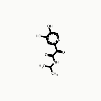 CC(C)NC(=O)C(=O)c1cc(O)c(O)cn1